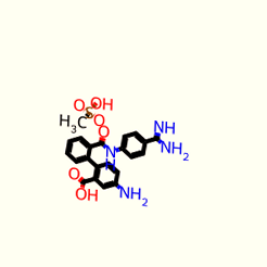 CS(=O)(=O)O.N=C(N)c1ccc(NC(=O)c2ccccc2-c2ccc(N)cc2C(=O)O)cc1